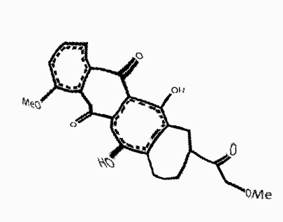 COCC(=O)C1CCc2c(O)c3c(c(O)c2C1)C(=O)c1cccc(OC)c1C3=O